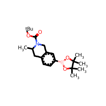 CC1Cc2ccc(B3OC(C)(C)C(C)(C)O3)cc2CN1C(=O)OC(C)(C)C